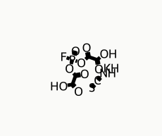 N=C=S.O=C(O)C(=O)OP(=O)(F)OC(=O)C(=O)O.[KH]